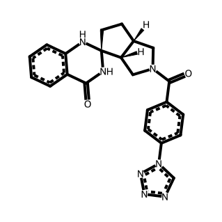 O=C1N[C@]2(CC[C@@H]3CN(C(=O)c4ccc(-n5cnnn5)cc4)C[C@@H]32)Nc2ccccc21